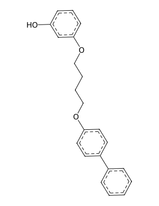 Oc1cccc(OCCCCOc2ccc(-c3ccccc3)cc2)c1